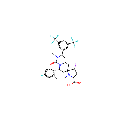 Cc1cc(F)ccc1[C@H]1CC2(CCN1C(=O)N(C)[C@H](C)c1cc(C(F)(F)F)cc(C(F)(F)F)c1)C(I)C[C@H](C(=O)O)N2C